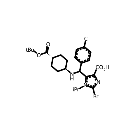 CC(C)n1c(Br)nc(C(=O)O)c1C(N[C@H]1CC[C@H](C(=O)OC(C)(C)C)CC1)c1ccc(Cl)cc1